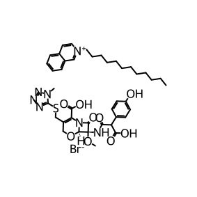 CCCCCCCCCCCC[n+]1ccc2ccccc2c1.CO[C@@]1(NC(=O)C(C(=O)O)c2ccc(O)cc2)C(=O)N2C(C(=O)O)=C(CSc3nnnn3C)CO[C@@H]21.[Br-]